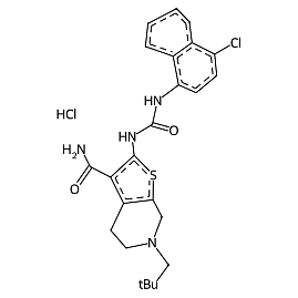 CC(C)(C)CN1CCc2c(sc(NC(=O)Nc3ccc(Cl)c4ccccc34)c2C(N)=O)C1.Cl